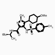 COC1CCC(c2c(NS(=O)(=O)c3ccc(C)cc3)c(C(=O)N[C@@H](C)C(C)(C)C)nn2C)CC1